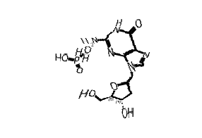 Nc1nc2c(ncn2C2C[C@H](O)[C@@H](CO)O2)c(=O)[nH]1.O=[PH](O)O